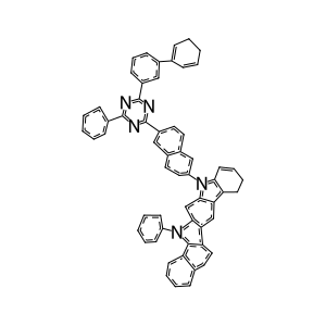 C1=CC(c2cccc(-c3nc(-c4ccccc4)nc(-c4ccc5cc(-n6c7c(c8cc9c%10ccc%11ccccc%11c%10n(-c%10ccccc%10)c9cc86)CCC=C7)ccc5c4)n3)c2)=CCC1